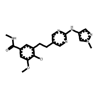 CNC(=O)c1cc(CCc2cnc(Nc3cnn(C)c3)nc2)c(Cl)c(OC)c1